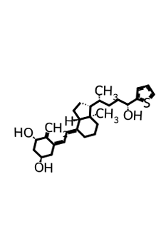 C=C1/C(=C\C=C2/CCC[C@]3(C)[C@@H]([C@H](C)CC[C@@H](O)c4cccs4)CC[C@@H]23)C[C@@H](O)C[C@@H]1O